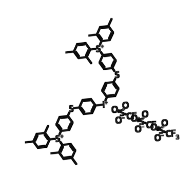 Cc1ccc([S+](c2ccc(Sc3ccc([I+]c4ccc(Sc5ccc([S+](c6ccc(C)cc6C)c6ccc(C)cc6C)cc5)cc4)cc3)cc2)c2ccc(C)cc2C)c(C)c1.O=S(=O)([O-])C(F)(F)F.O=S(=O)([O-])C(F)(F)F.O=S(=O)([O-])C(F)(F)F